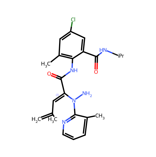 C=C(C)/C=C(/C(=O)Nc1c(C)cc(Cl)cc1C(=O)NC(C)C)N(N)c1ncccc1C